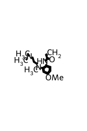 C=CC(=O)Nc1ccc(OC)cc1N(C)CCCN(C)C